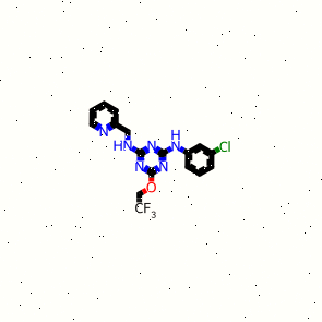 FC(F)(F)COc1nc(NCc2ccccn2)nc(Nc2cccc(Cl)c2)n1